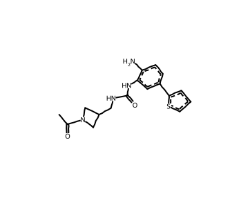 CC(=O)N1CC(CNC(=O)Nc2cc(-c3cccs3)ccc2N)C1